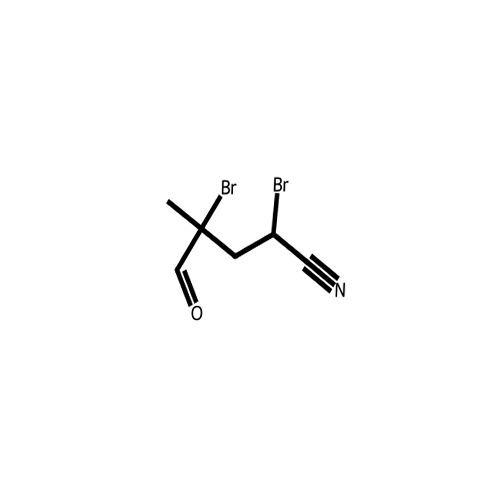 CC(Br)(C=O)CC(Br)C#N